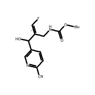 CC(C)(C)OC(=O)NC/C(=C\F)C(O)c1ccc(C#N)nc1